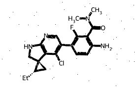 CC[C@H]1C[C@]12CNc1ncc(-c3ccc(N)c(C(=O)N(C)C)c3F)c(Cl)c12